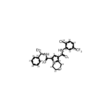 CC[C@@H](NC(=O)c1cc(C(=O)Nc2cc(C(F)(F)F)ccc2Cl)c2n1CCOC2)c1ccccc1